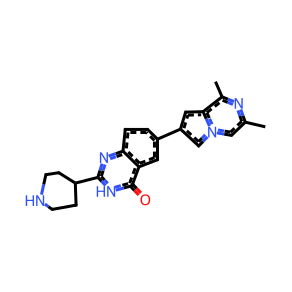 Cc1cn2cc(-c3ccc4nc(C5CCNCC5)[nH]c(=O)c4c3)cc2c(C)n1